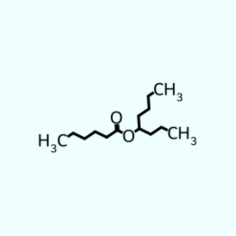 CCCCCC(=O)OC(CCC)CCCC